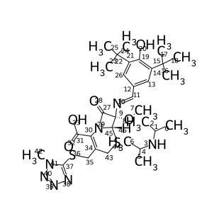 CC(C)NC(C)C.CO[C@@]1(N=Cc2cc(C(C)(C)C)c(O)c(C(C)(C)C)c2)C(=O)N2C(C(=O)O)=C(CSc3nnnn3C)CS[C@H]21